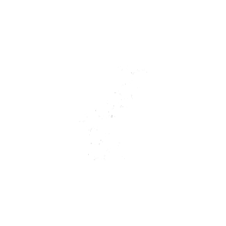 CN(C)c1ccc(NC(=O)Nc2cccnc2Oc2ccccc2OC(F)(F)F)cc1